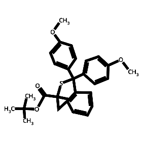 COc1ccc(C(SC2(C(=O)OC(C)(C)C)CC2)(c2ccccc2)c2ccc(OC)cc2)cc1